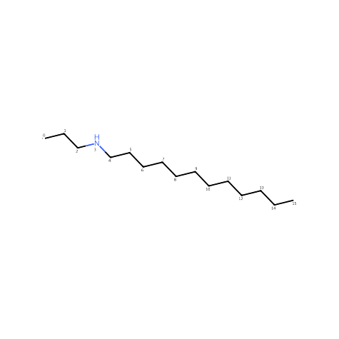 [CH2]CCNCCCCCCCCCCCC